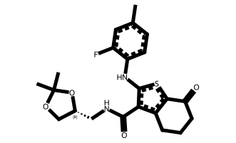 Cc1ccc(Nc2sc3c(c2C(=O)NC[C@@H]2COC(C)(C)O2)CCCC3=O)c(F)c1